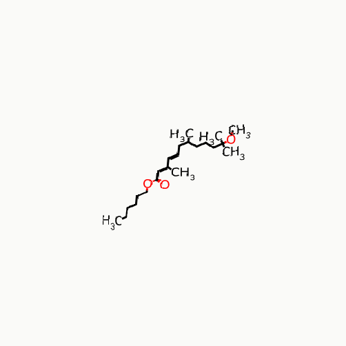 CCCCCCOC(=O)/C=C(C)/C=C/CC(C)CCCC(C)(C)OC